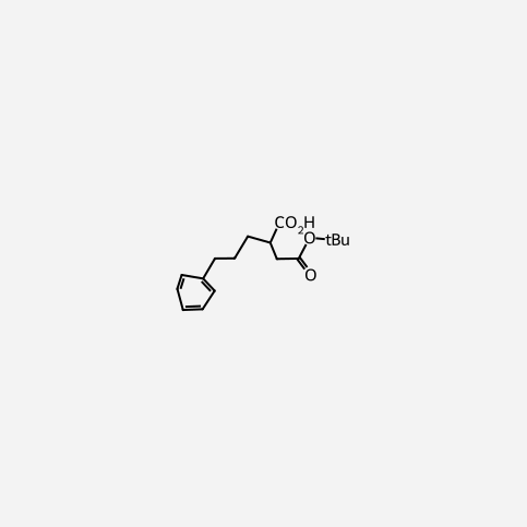 CC(C)(C)OC(=O)CC(CCCc1ccccc1)C(=O)O